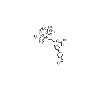 COc1ccc(-n2cnc([C@@]3(C(=O)O)C[C@@H]3CCCN(C(=O)OC(C)(C)C)C(=O)OC(C)(C)C)c2)cc1